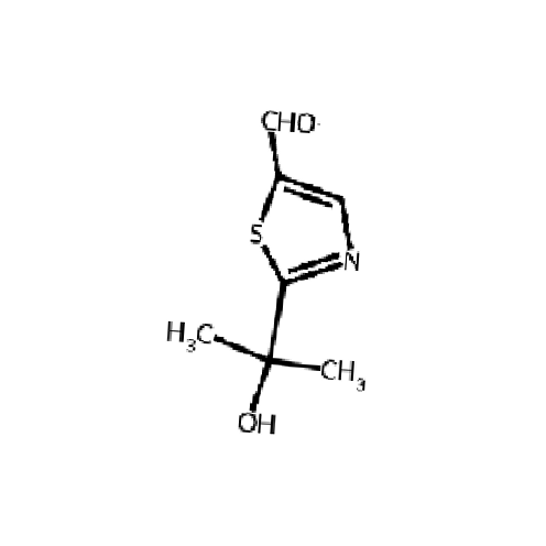 CC(C)(O)c1ncc([C]=O)s1